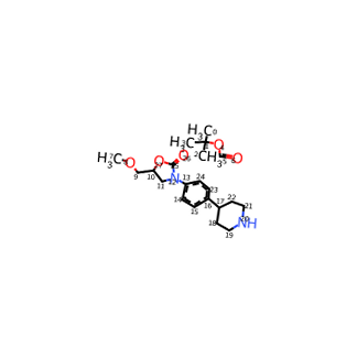 CC(C)(C)OC=O.COCC1CN(c2ccc(C3CCNCC3)cc2)C(=O)O1